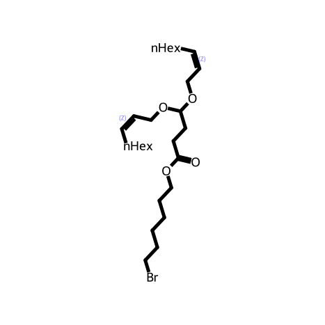 CCCCCC/C=C\COC(CCC(=O)OCCCCCCBr)OC/C=C\CCCCCC